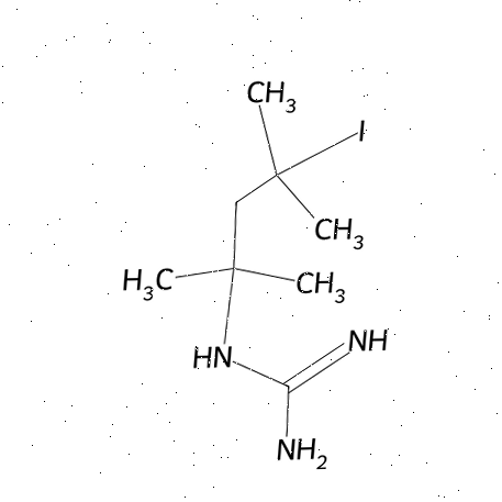 CC(C)(I)CC(C)(C)NC(=N)N